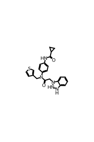 O=C(Nc1ccc(N(Cc2ccsc2)C(=O)CN2NNc3ccccc32)cc1)C1CC1